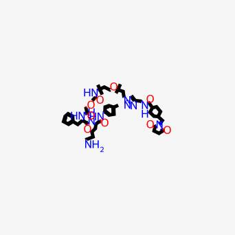 Cc1ccc(NC(=O)C(CCCCN)NC(=O)C(Cc2ccccc2)NC(=O)COCC(=O)NC(C)(C)CCOC(C)(C)CCn2cc(CNC(=O)C3CCC(CN4C(=O)CCC4=O)CC3)nn2)cc1